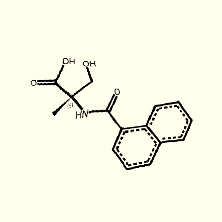 C[C@@](CO)(NC(=O)c1cccc2ccccc12)C(=O)O